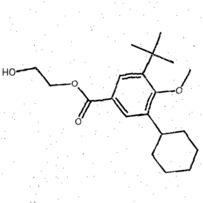 COc1c(C2CCCCC2)cc(C(=O)OCCO)cc1C(C)(C)C